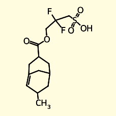 CC1C=C2CC(C1)CC(C(=O)OCC(F)(F)CS(=O)(=O)O)C2